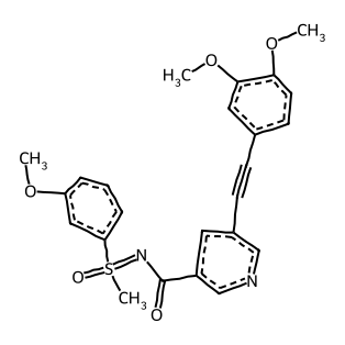 COc1cccc(S(C)(=O)=NC(=O)c2cncc(C#Cc3ccc(OC)c(OC)c3)c2)c1